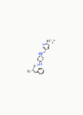 CCC(=Cc1ccccc1)C1CC1NC1CCC(NCc2ccc(C(=O)O)nc2)CC1